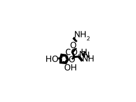 NCCOCCC(Oc1c(O)cc(O)cc1C(=O)O)c1c[nH]nn1